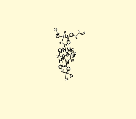 C=CCOC(=O)C(C)(CCN1OC[C@@H]2[C@H]1C(F)(F)CN2C(=O)OC(C)(C)C)OC